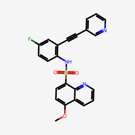 COc1ccc(S(=O)(=O)Nc2ccc(F)cc2C#Cc2cccnc2)c2ncccc12